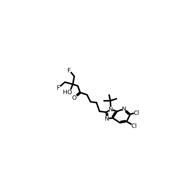 CC(C)(C)n1c(CCCCC(=O)CC(O)(CF)CF)nc2cc(Cl)c(Cl)nc21